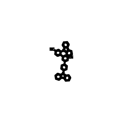 N#Cc1cc(-c2ccc(-n3c4ccccc4c4ccccc43)cc2)cc(-c2ccc(C#N)cc2-n2c3ccccc3c3ccccc32)c1